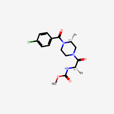 CC(C)[C@H](NC(=O)OC(C)(C)C)C(=O)N1CCN(C(=O)c2ccc(Cl)cc2)[C@H](C(C)C)C1